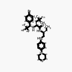 CC[C@@H](CNc1ccc(N2CCSCC2)cc1)NC(=O)[C@H](CC(C)(C)F)N[C@@H](c1ccc(Br)cc1)C(F)(F)F